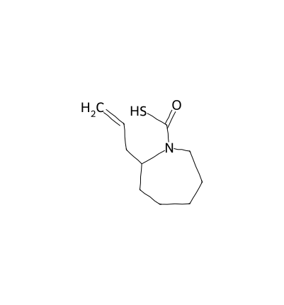 C=CCC1CCCCCN1C(=O)S